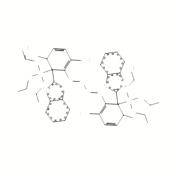 CCO[Si](OCC)(OCC)C1(c2nc3ccccc3s2)C(SSSSC2=C(C)C=CC(C)C2(c2nc3ccccc3s2)[Si](OCC)(OCC)OCC)=C(C)C=CC1C